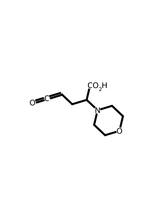 O=C=CCC(C(=O)O)N1CCOCC1